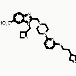 O=C(O)c1ccc2nc(CN3CCN(c4cccc(OCCC5COC5)n4)CC3)n(CC3CCO3)c2c1